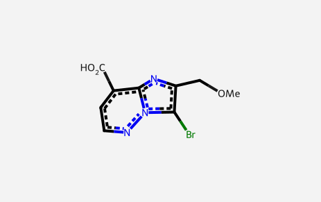 COCc1nc2c(C(=O)O)ccnn2c1Br